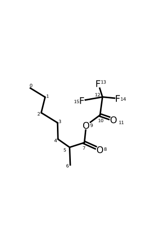 CCCCCC(C)C(=O)OC(=O)C(F)(F)F